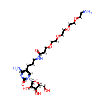 NCCOCCOCCOCCOCCC(=O)NCCCc1cn([C@@H]2O[C@H](CO)C(O)C2O)c(=O)nc1N